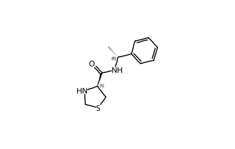 C[C@@H](NC(=O)[C@H]1CSCN1)c1ccccc1